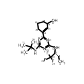 CC[C@@H](Nc1nc(NC(C)(C)C)nc(C2=CC(O)CCC2)n1)C(F)(F)F